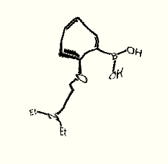 CCN(CC)CCOc1ccccc1B(O)O